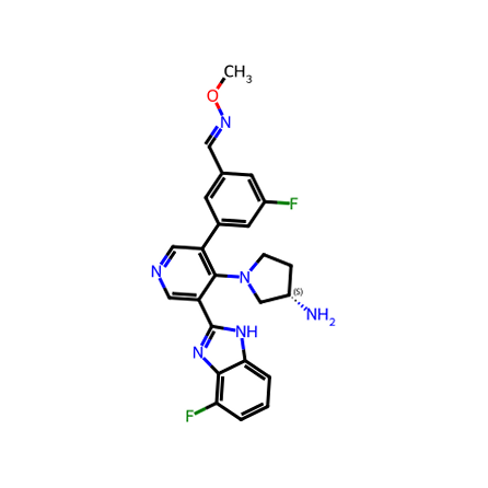 CON=Cc1cc(F)cc(-c2cncc(-c3nc4c(F)cccc4[nH]3)c2N2CC[C@H](N)C2)c1